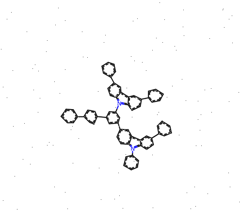 c1ccc(-c2ccc(-c3cc(-c4ccc5c(c4)c4cc(-c6ccccc6)ccc4n5-c4ccccc4)cc(-n4c5ccc(-c6ccccc6)cc5c5cc(-c6ccccc6)ccc54)c3)cc2)cc1